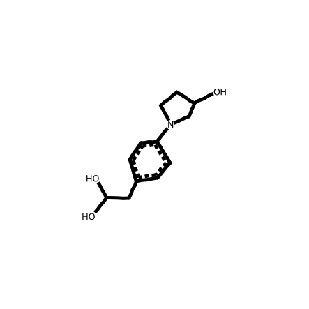 OC(O)Cc1ccc(N2CCC(O)C2)cc1